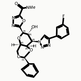 CNC(=O)c1nnc([C@@H]2O[C@@H]3CO[C@H](c4ccccc4)O[C@@H]3[C@H](n3cc(-c4cccc(F)c4)nn3)[C@H]2O)o1